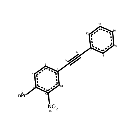 CCCc1ccc(C#Cc2ccccc2)cc1[N+](=O)[O-]